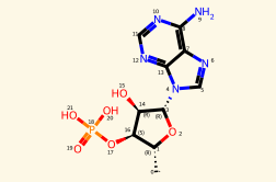 [CH2][C@H]1O[C@@H](n2cnc3c(N)ncnc32)[C@H](O)[C@@H]1OP(=O)(O)O